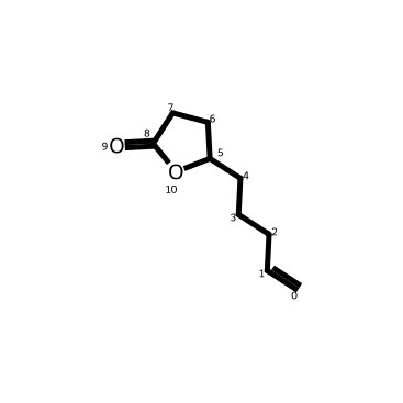 C=CCCCC1CCC(=O)O1